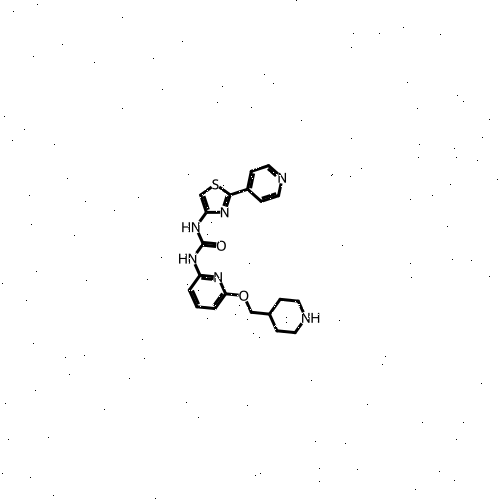 O=C(Nc1cccc(OCC2CCNCC2)n1)Nc1csc(-c2ccncc2)n1